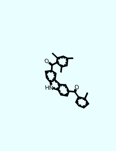 Cc1cc(C)c(C(=O)c2ccc3[nH]c4ccc(C(=O)c5ccccc5C)cc4c3c2)c(C)c1